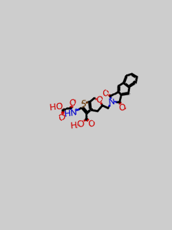 O=C(O)C(=O)Nc1sc2c(c1C(=O)O)CC(CN1C(=O)c3cc4ccccc4cc3C1=O)OC2